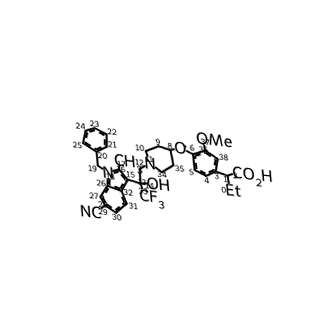 CCC(C(=O)O)c1ccc(OC2CCN(CC(O)(c3c(C)n(Cc4ccccc4)c4cc(C#N)ccc34)C(F)(F)F)CC2)c(OC)c1